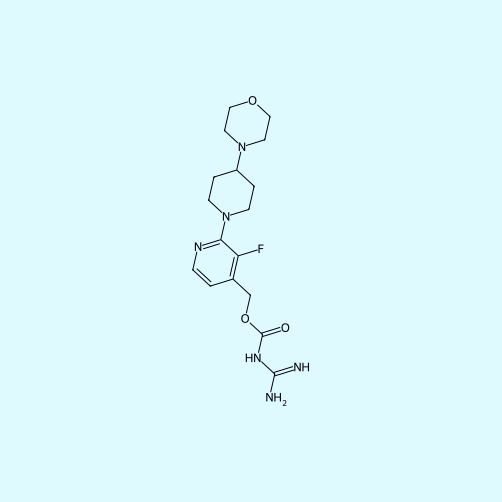 N=C(N)NC(=O)OCc1ccnc(N2CCC(N3CCOCC3)CC2)c1F